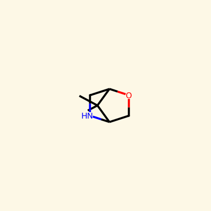 CC1(C)C2COC1CN2